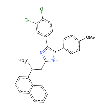 COc1ccc(-c2[nH]c(CC(C(=O)O)c3cccc4ccccc34)nc2-c2ccc(Cl)c(Cl)c2)cc1